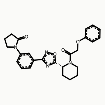 O=C1CCCN1c1cccc(-c2noc([C@H]3CCCCN3C(=O)COc3ccccc3)n2)c1